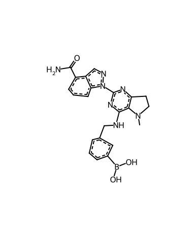 CN1CCc2nc(-n3ncc4c(C(N)=O)cccc43)nc(NCc3cccc(B(O)O)c3)c21